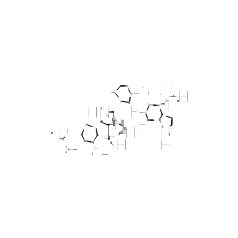 [2H]C([2H])([2H])Sc1c(Oc2ccc(F)c(-c3nc([C@]4(C([2H])([2H])[2H])CCOc5c(C[C@@H](C)C(=O)OC)cccc54)c[nH]3)c2)c(F)c(F)c2[nH]ccc12